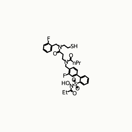 CCCC(=O)N(CCC(=O)N(CCS)Cc1ccccc1F)Cc1ccc(-c2ccccc2S(=O)(=O)N(O)C(=O)CC)cc1F